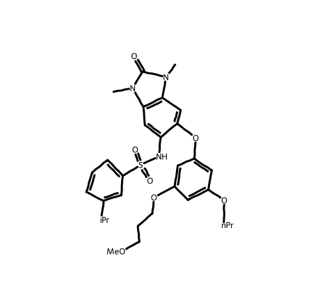 CCCOc1cc(OCCCOC)cc(Oc2cc3c(cc2NS(=O)(=O)c2cccc(C(C)C)c2)n(C)c(=O)n3C)c1